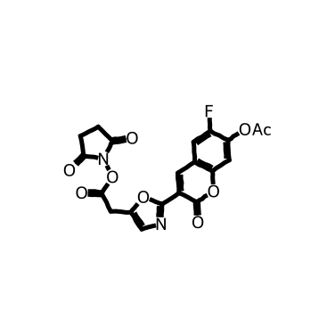 CC(=O)Oc1cc2oc(=O)c(-c3ncc(CC(=O)ON4C(=O)CCC4=O)o3)cc2cc1F